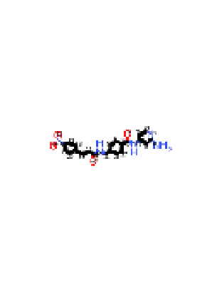 Nc1cc(NC(=O)c2ccc(CNC(=O)/C=C/c3ccc([N+](=O)[O-])cc3)cc2)ccn1